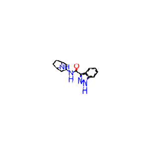 O=C(NC1CC2CCC(C1)N2)c1n[nH]c2ccccc12